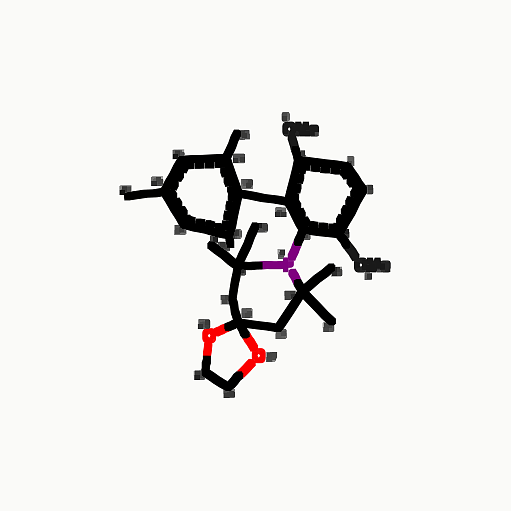 COc1ccc(OC)c(P2C(C)(C)CC3(CC2(C)C)OCCO3)c1-c1c(C)cc(C)cc1C